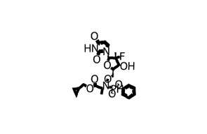 CC(C(=O)OCC1CC1)N(OC[C@H]1O[C@@H](n2ccc(=O)[nH]c2=O)[C@](C)(F)[C@@H]1O)[PH](=O)Oc1ccccc1